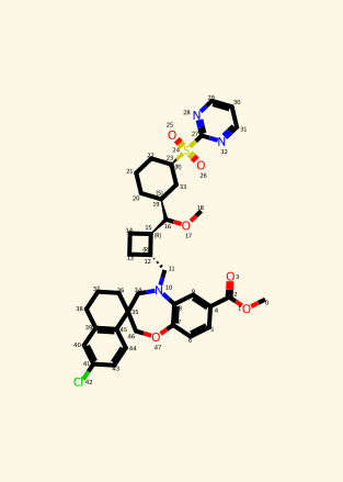 COC(=O)c1ccc2c(c1)N(C[C@@H]1CC[C@H]1C(OC)[C@H]1CCC[C@@H](S(=O)(=O)c3ncccn3)C1)CC1(CCCc3cc(Cl)ccc31)CO2